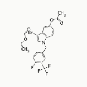 CC(=O)Oc1ccc2c(c1)c(Br)cn2Cc1ccc(F)c(C(F)(F)F)c1.CCOC=O